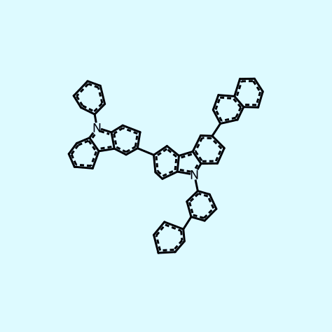 c1ccc(-c2cccc(-n3c4ccc(-c5ccc6ccccc6c5)cc4c4cc(-c5ccc6c(c5)c5ccccc5n6-c5ccccc5)ccc43)c2)cc1